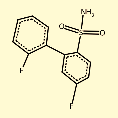 NS(=O)(=O)c1ccc(F)cc1-c1ccccc1F